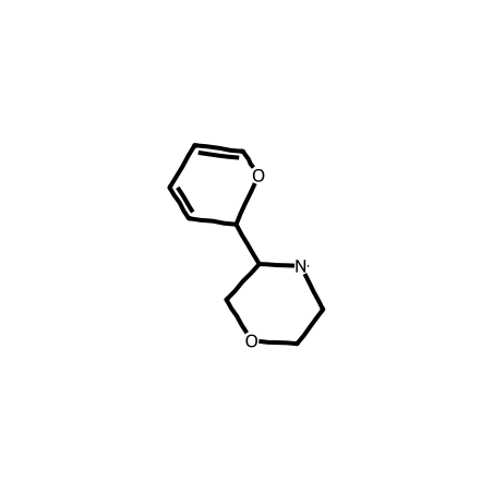 C1=COC(C2COCC[N]2)C=C1